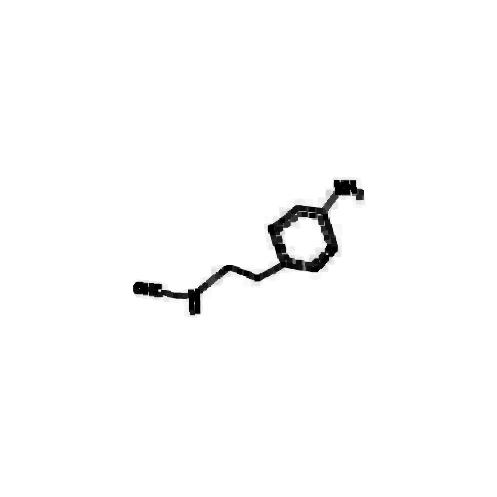 Nc1ccc(CCNC=O)cc1